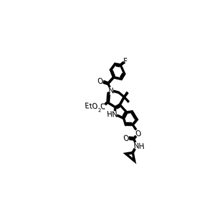 CCOC(=O)C1=CN(C(=O)c2ccc(F)cc2)CC(C)(C)c2c1[nH]c1cc(OC(=O)NC3CC3)ccc21